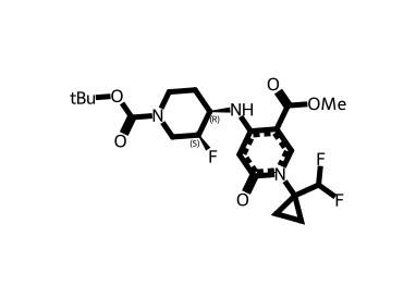 COC(=O)c1cn(C2(C(F)F)CC2)c(=O)cc1N[C@@H]1CCN(C(=O)OC(C)(C)C)C[C@@H]1F